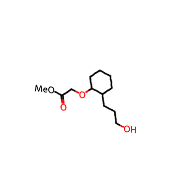 COC(=O)COC1CCCCC1CCCO